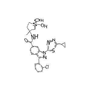 CC1(NC(=O)c2ccc3c(-c4ccccc4Cl)nn(-c4nnc(C5CC5)s4)c3c2)CCS(O)(O)C1